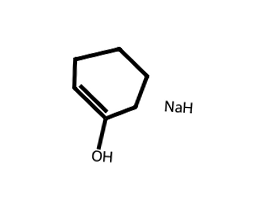 OC1=CCCCC1.[NaH]